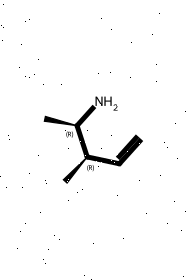 C=C[C@@H](C)[C@@H](C)N